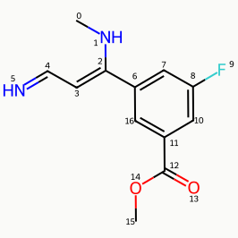 CN/C(=C\C=N)c1cc(F)cc(C(=O)OC)c1